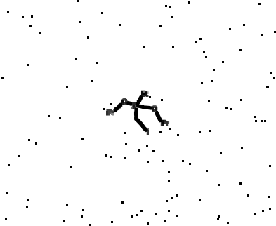 CC[Si](CI)(OC(C)C)OC(C)C